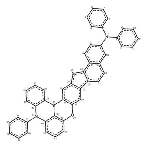 c1ccc(N(c2ccccc2)c2ccc3c(ccc4c5cc6c(cc5sc34)B3c4ccccc4N(c4ccccc4)c4cccc(c43)O6)c2)cc1